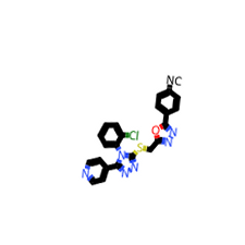 [C-]#[N+]c1ccc(-c2nnc(CSc3nnc(-c4ccncc4)n3-c3ccccc3Cl)o2)cc1